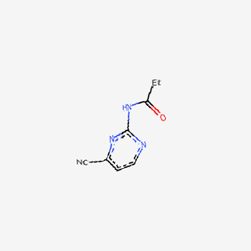 CCC(=O)Nc1nccc(C#N)n1